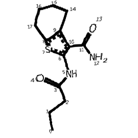 CCCC(=O)Nc1sc2c(c1C(N)=O)CCCC2